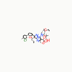 C=CCOC1(C)CCN(c2c(C(OC(C)(C)C)C(=O)O)c(C)nc3cc(-c4cccc(-c5ccc(C)c(Cl)c5)c4O[C@@H](C)CC=C)nn23)CC1